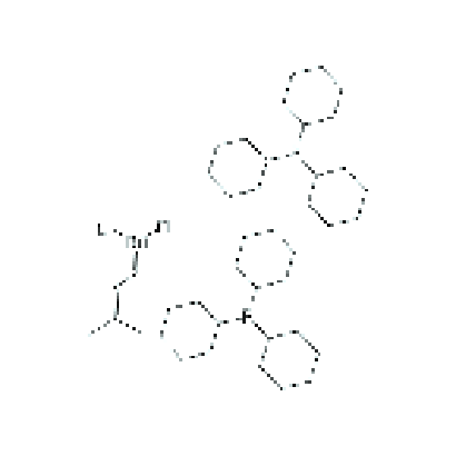 C1CCC(P(C2CCCCC2)C2CCCCC2)CC1.C1CCC(P(C2CCCCC2)C2CCCCC2)CC1.CC(C)=C[CH]=[Ru]([Cl])[Cl]